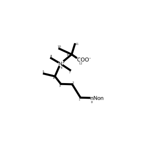 CCCCCCCCCCCCC(C)[N+](C)(C)C(C)(C)C(=O)[O-]